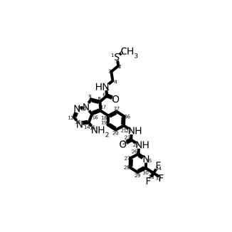 CSCCCNC(=O)c1cn2ncnc(N)c2c1-c1ccc(NC(=O)Nc2cccc(C(F)(F)F)n2)cc1